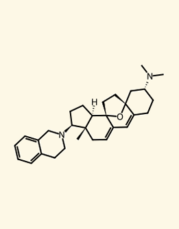 CN(C)[C@@H]1CCC2=CC3=CC[C@]4(C)[C@@H](N5CCc6ccccc6C5)CC[C@H]4[C@@]34CC[C@]2(C1)O4